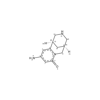 Nc1cc2n(c(=O)c1)C[C@@H]1CNC[C@H]2C1